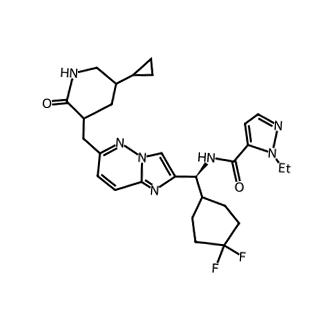 CCn1nccc1C(=O)N[C@H](c1cn2nc(CC3CC(C4CC4)CNC3=O)ccc2n1)C1CCC(F)(F)CC1